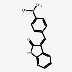 CN(C)c1ccc(C=C2C(=O)Nc3cccnc32)cc1